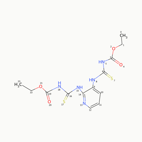 CCOC(=O)NC(=S)Nc1cccnc1NC(=S)NC(=O)OCC